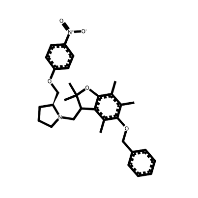 Cc1c(C)c2c(c(C)c1OCc1ccccc1)C(CN1CCC[C@H]1COc1ccc([N+](=O)[O-])cc1)C(C)(C)O2